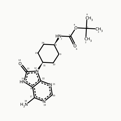 CC(C)(C)OC(=O)N[C@H]1CC[C@@H](n2c(=O)[nH]c3c(N)ncnc32)CC1